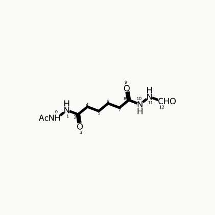 CC(=O)NNC(=O)CCCCC(=O)NNC=O